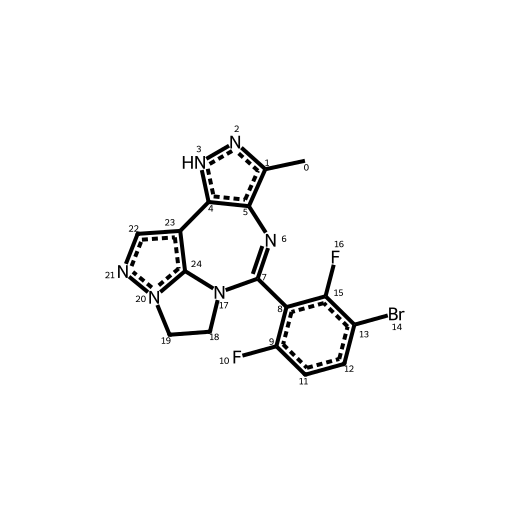 Cc1n[nH]c2c1N=C(c1c(F)ccc(Br)c1F)N1CCn3ncc-2c31